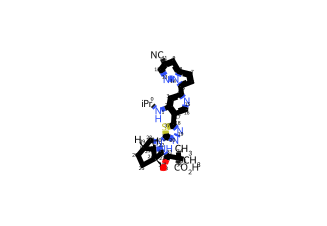 CC(C)Nc1cc(-c2ccc3cc(C#N)cnn23)ncc1-c1nnc(N2C[C@H]3CC[C@@H](C2)[C@@H]3NC(=O)C(C)(C)C(=O)O)s1